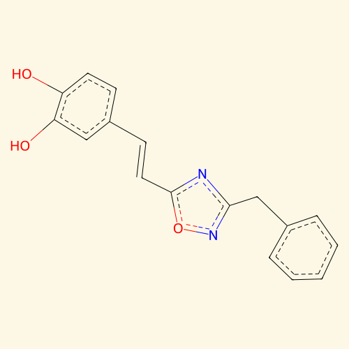 Oc1ccc(C=Cc2nc(Cc3ccccc3)no2)cc1O